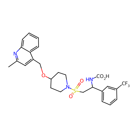 Cc1cc(COC2CCN(S(=O)(=O)CC(NC(=O)O)c3cccc(C(F)(F)F)c3)CC2)c2ccccc2n1